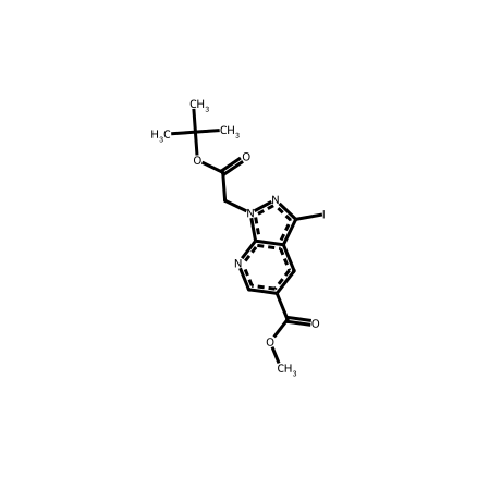 COC(=O)c1cnc2c(c1)c(I)nn2CC(=O)OC(C)(C)C